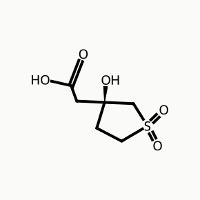 O=C(O)C[C@@]1(O)CCS(=O)(=O)C1